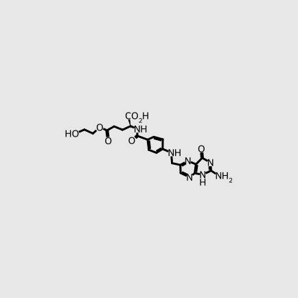 Nc1nc(=O)c2nc(CNc3ccc(C(=O)N[C@@H](CCC(=O)OCCO)C(=O)O)cc3)cnc2[nH]1